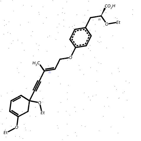 CCOC1=CC=CC(C#C/C(C)=C/COc2ccc(C[C@H](OCC)C(=O)O)cc2)(OCC)C1